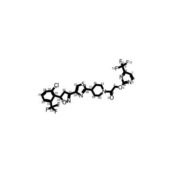 O=C(COc1nccc(C(F)(F)F)n1)N1CCC(c2nc(C3=NOC(c4c(Cl)cccc4C(F)(F)F)C3)cs2)CC1